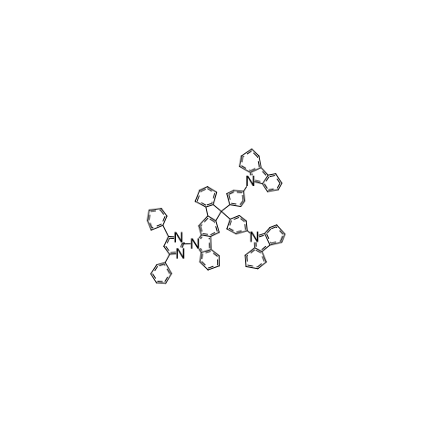 c1ccc(-c2cc(-c3ccccc3)nc(-n3c4ccccc4c4cc5c(cc43)-c3ccccc3C5(c3ccc(-n4c5ccccc5c5ccccc54)cc3)c3ccc(-n4c5ccccc5c5ccccc54)cc3)n2)cc1